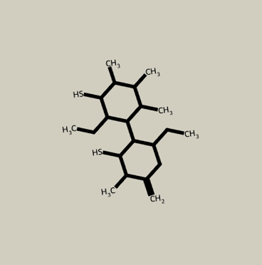 C=C1CC(CC)C(C2C(C)C(C)C(C)C(S)C2CC)C(S)C1C